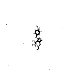 CCNCc1cnn(Cc2ccc(OC)cc2)c1C(=O)O